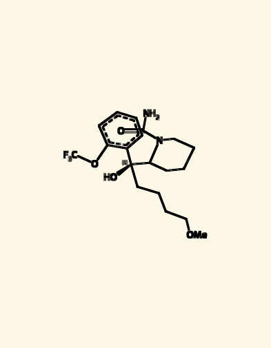 COCCCC[C@](O)(c1ccccc1OC(F)(F)F)C1CCCCN1C(N)=O